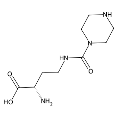 N[C@@H](CCNC(=O)N1CCNCC1)C(=O)O